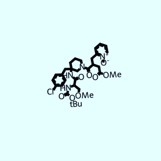 COCC(NC(=O)OC(C)(C)C)C(=O)NC1(Cc2ccc(Cl)cc2)CCCN(C(=O)C(CC(=O)OC)Cc2cccc[n+]2[O-])C1